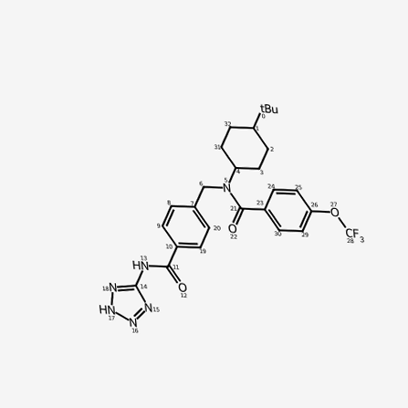 CC(C)(C)C1CCC(N(Cc2ccc(C(=O)Nc3nn[nH]n3)cc2)C(=O)c2ccc(OC(F)(F)F)cc2)CC1